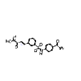 CC(C)C(=O)c1ccc(NS(=O)(=O)c2cccc(/C=C/C(=O)NO)c2)cc1